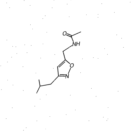 CC(=O)NCc1cc(CC(C)C)no1